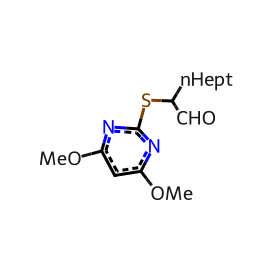 CCCCCCCC(C=O)Sc1nc(OC)cc(OC)n1